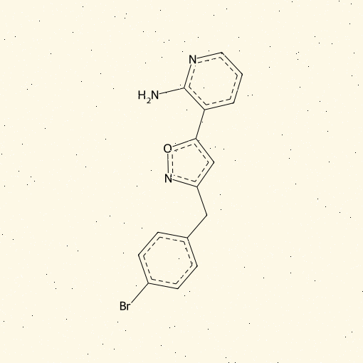 Nc1ncccc1-c1cc(Cc2ccc(Br)cc2)no1